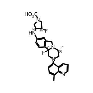 Cc1ccc(N2C[C@@H](C)N3Cc4cc(N[C@H]5CN(C(=O)O)C[C@H]5F)ccc4[C@H]3C2)c2cccnc12